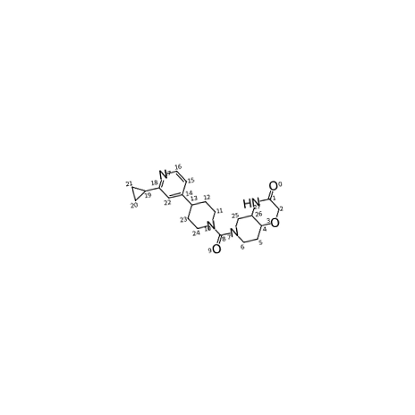 O=C1COC2CCN(C(=O)N3CCC(c4ccnc(C5CC5)c4)CC3)CC2N1